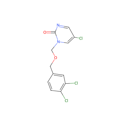 O=c1ncc(Cl)cn1COCc1ccc(Cl)c(Cl)c1